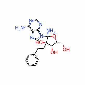 Nc1ncnc2c1ncn2[C@]1(N)O[C@H](CO)[C@@H](O)[C@]1(O)CCc1ccccc1